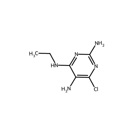 CCNc1nc(N)nc(Cl)c1N